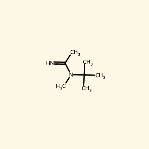 CC(=N)N(C)C(C)(C)C